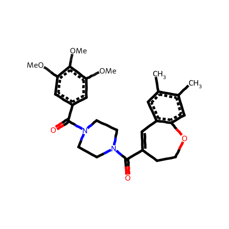 COc1cc(C(=O)N2CCN(C(=O)C3=Cc4cc(C)c(C)cc4OCC3)CC2)cc(OC)c1OC